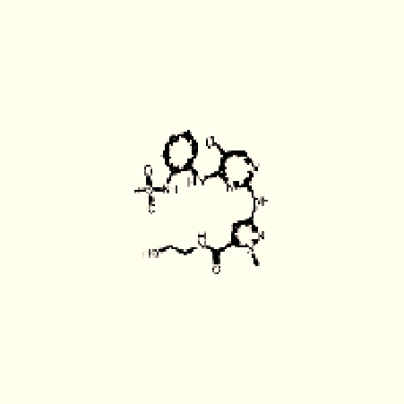 Cn1nc(Nc2ncc(Cl)c(Nc3ccccc3NS(C)(=O)=O)n2)cc1C(=O)NCCO